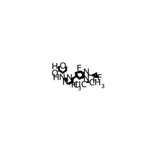 CC(C)n1c([C@H]2CC2(F)F)nc2c(F)cc(-c3nc(N[C@@H]4CCOC[C@H]4O)ncc3Cl)cc21